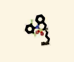 CNCCC[C@H]1Cc2ccccc2N(c2c(F)cccc2F)S1(=O)=O